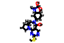 CSc1ncc2c(n1)N1CCC[C@H]1CN(c1ccc3oc(=O)n(C)c3c1)C2=O